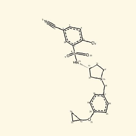 N#Cc1ccc(Cl)c(S(=O)(=O)N[C@@H]2CCN(Cc3ccc(OC4CC4)cc3)C2)c1